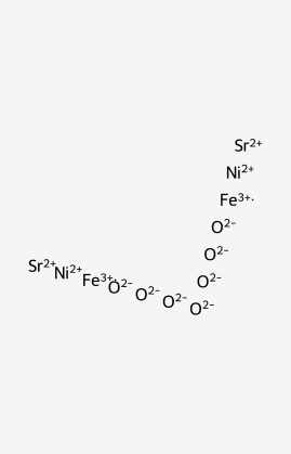 [Fe+3].[Fe+3].[Ni+2].[Ni+2].[O-2].[O-2].[O-2].[O-2].[O-2].[O-2].[O-2].[Sr+2].[Sr+2]